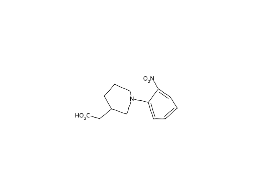 O=C(O)CC1CCCN(c2ccccc2[N+](=O)[O-])C1